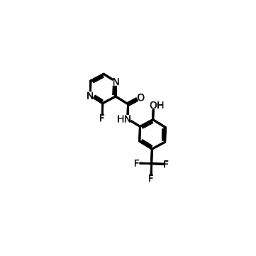 O=C(Nc1cc(C(F)(F)F)ccc1O)c1nccnc1F